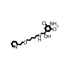 Nc1c(Cl)cc(C(O)CNCCCCCOCCc2ccccn2)cc1Cl